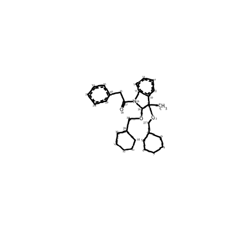 CC1(OCC2CCCCC2)c2ccccc2N(C(=O)Cc2ccccc2)C1OCC1CCCCC1